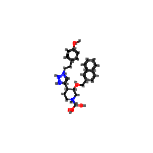 COc1ccc(CCn2cc(C3CCN(C(=O)O)CC3OCc3ccc4ccccc4c3)nn2)cc1